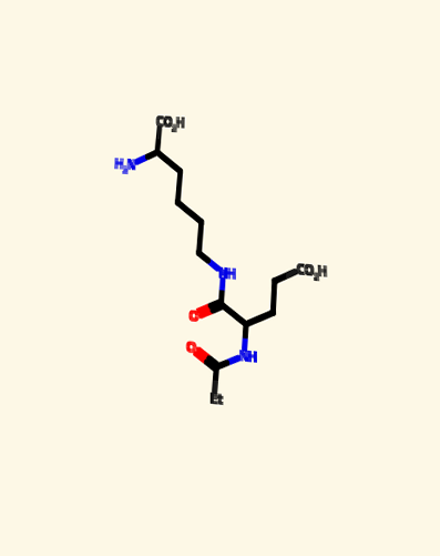 CCC(=O)NC(CCC(=O)O)C(=O)NCCCCC(N)C(=O)O